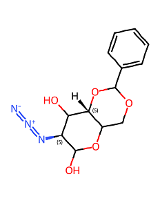 [N-]=[N+]=N[C@@H]1C(O)OC2COC(c3ccccc3)O[C@H]2C1O